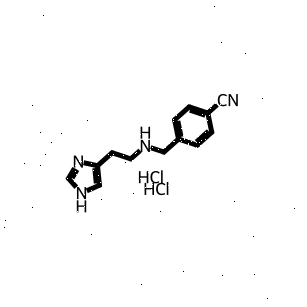 Cl.Cl.N#Cc1ccc(CNCCc2c[nH]cn2)cc1